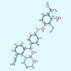 CCc1c(OCc2ccc(C(OC3CCCCO3)c3cccc(C#N)c3)cc2)ccc(C(C)=O)c1O